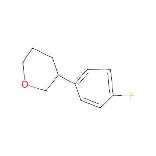 Fc1ccc(C2CCCOC2)cc1